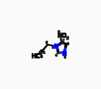 C#CCn1cncc1[N+](=O)[O-]